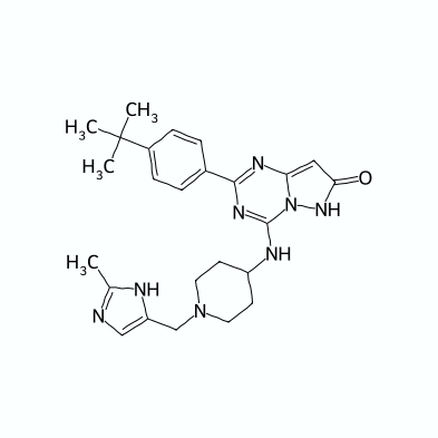 Cc1ncc(CN2CCC(Nc3nc(-c4ccc(C(C)(C)C)cc4)nc4cc(=O)[nH]n34)CC2)[nH]1